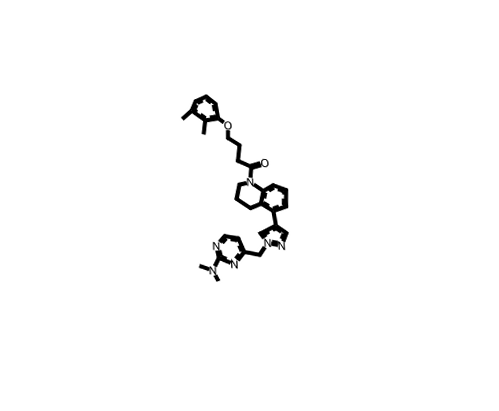 Cc1cccc(OCCCC(=O)N2CCCc3c(-c4cnn(Cc5ccnc(N(C)C)n5)c4)cccc32)c1C